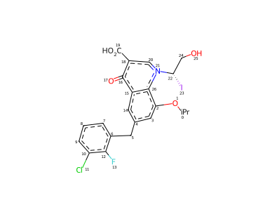 CC(C)Oc1cc(Cc2cccc(Cl)c2F)cc2c(=O)c(C(=O)O)cn([C@@H](I)CO)c12